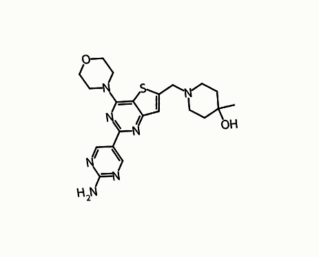 CC1(O)CCN(Cc2cc3nc(-c4cnc(N)nc4)nc(N4CCOCC4)c3s2)CC1